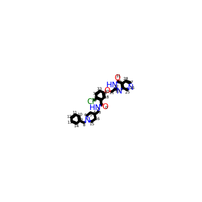 O=C(NCC1CCN(Cc2ccccc2)CC1)c1cc(OCc2nc3cnccc3c(=O)[nH]2)ccc1Cl